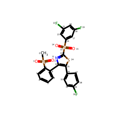 CS(=O)(=O)c1ccccc1-c1nc(S(=O)(=O)c2cc(F)cc(F)c2)sc1-c1ccc(F)cc1